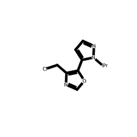 CC(C)n1nccc1-c1ocnc1CCl